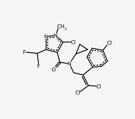 Cn1nc(C(F)F)c(C(=O)N(CC(=C(Cl)Cl)c2ccc(Cl)cc2)C2CC2)c1Cl